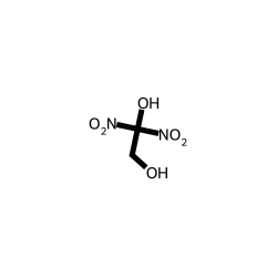 O=[N+]([O-])C(O)(CO)[N+](=O)[O-]